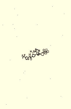 Nc1ncnc2c1c(-c1ccc(C(=O)Nc3cc(C(F)(F)F)ccn3)cc1)nn2C1CCCN(C(=O)C(Cl)(Cl)Cl)C1